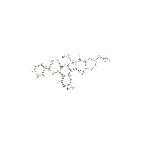 COc1c(C(=O)N2CCCC(CN)C2)n(C)c2c1c(=O)n(CC(=O)c1ccccc1)c1ccccc21.Cl